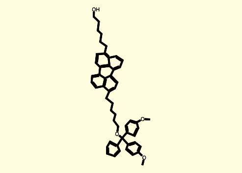 COc1ccc(C(OCCCCCCc2ccc3c4cccc5c(CCCCCCO)ccc(c6cccc2c63)c54)(c2ccccc2)c2ccc(OC)cc2)cc1